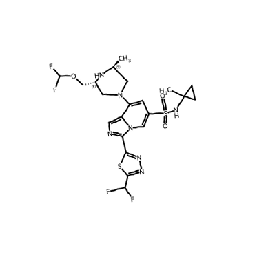 C[C@H]1CN(c2cc(S(=O)(=O)NC3(C)CC3)cn3c(-c4nnc(C(F)F)s4)ncc23)C[C@H](COC(F)F)N1